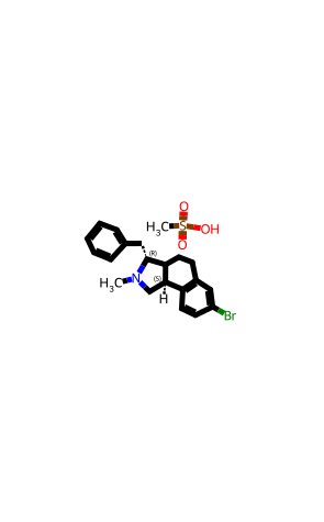 CN1C[C@@H]2c3ccc(Br)cc3CCC2[C@H]1Cc1ccccc1.CS(=O)(=O)O